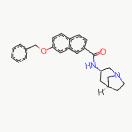 O=C(N[C@@H]1C[C@@H]2CCN(C2)C1)c1ccc2ccc(OCc3ccccc3)cc2c1